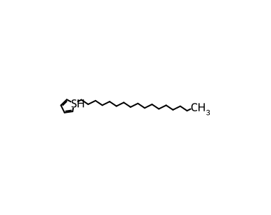 CCCCCCCCCCCCCCCCC[SH]1C=CC=C1